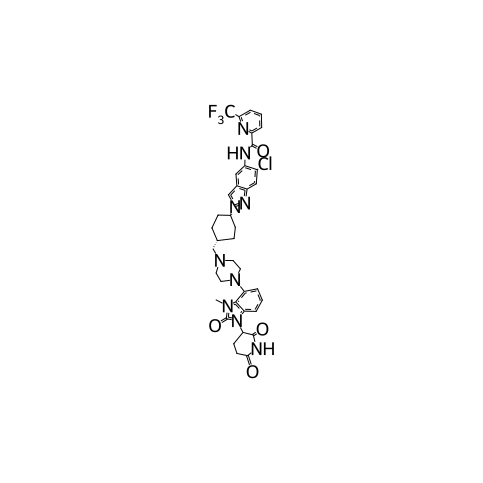 Cn1c(=O)n(C2CCC(=O)NC2=O)c2cccc(N3CCN(C[C@H]4CC[C@H](n5cc6cc(NC(=O)c7cccc(C(F)(F)F)n7)c(Cl)cc6n5)CC4)CC3)c21